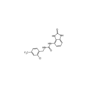 O=C(NCc1ccc(C(F)(F)F)cc1Cl)Nc1cccc2[nH]c(=O)[nH]c12